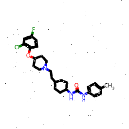 Cc1ccc(NC(=O)NC2CCC(CCN3CCC(Oc4ccc(F)cc4Cl)CC3)CC2)cc1